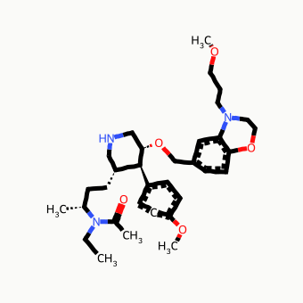 CCN(C(C)=O)[C@H](C)CC[C@@H]1CNC[C@H](OCc2ccc3c(c2)N(CCCOC)CCO3)[C@H]1c1ccc(OC)cc1